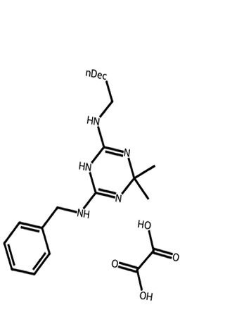 CCCCCCCCCCCNC1=NC(C)(C)N=C(NCc2ccccc2)N1.O=C(O)C(=O)O